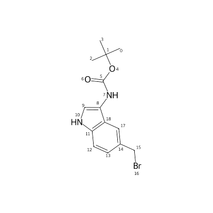 CC(C)(C)OC(=O)Nc1c[nH]c2ccc(CBr)cc12